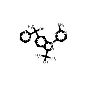 CC(C)(O)c1nn(-c2ccnc(N)n2)c2cc(C(C)(O)c3ncccn3)ccc12